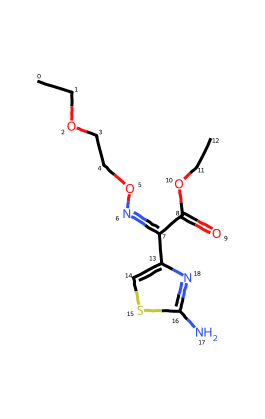 CCOCCON=C(C(=O)OCC)c1csc(N)n1